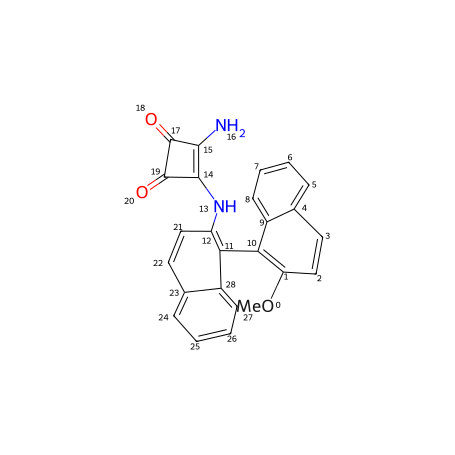 COc1ccc2ccccc2c1-c1c(Nc2c(N)c(=O)c2=O)ccc2ccccc12